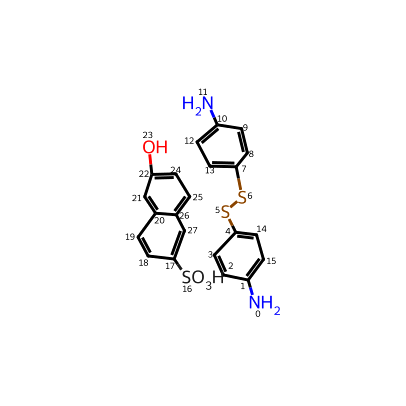 Nc1ccc(SSc2ccc(N)cc2)cc1.O=S(=O)(O)c1ccc2cc(O)ccc2c1